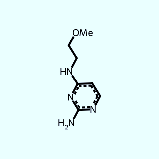 COCCNc1ccnc(N)n1